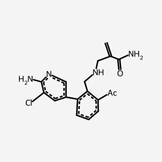 C=C(CNCc1c(C(C)=O)cccc1-c1cnc(N)c(Cl)c1)C(N)=O